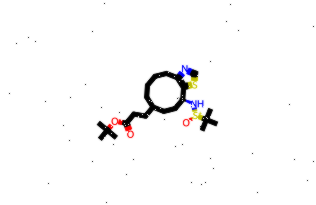 CC(C)(C)OC(=O)CCC1CCCCc2ncsc2[C@@H](N[S@+]([O-])C(C)(C)C)CC1